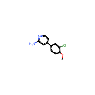 COc1ccc(-c2ccnc(N)c2)cc1Cl